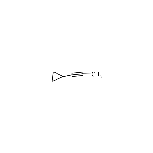 CC#CC1[CH]C1